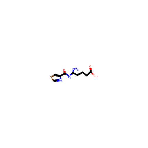 NC(CCCC(=O)O)NC(=O)c1cscn1